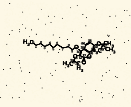 CCCCCCCCCCOc1c(OC(C)C)c(=O)oc2cc(OC(C)(C)C)ccc12